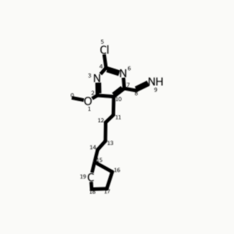 COc1nc(Cl)nc(C=N)c1CCCCC1CCCC1